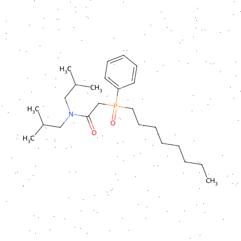 CCCCCCCCP(=O)(CC(=O)N(CC(C)C)CC(C)C)c1ccccc1